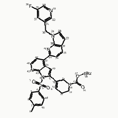 Cc1ccc(S(=O)(=O)n2c(C3=CCCN(C(=O)OC(C)(C)C)C3)cc3c(-c4ccc5ccn(Cc6cncc(F)c6)c5n4)ccnc32)cc1